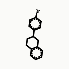 Brc1ccc(C2CCc3ccccc3C2)cc1